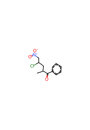 CC(CC(Cl)C[N+](=O)[O-])C(=O)c1ccccc1